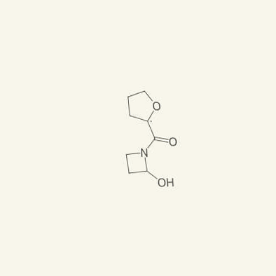 O=C([C]1CCCO1)N1CCC1O